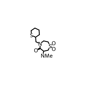 CNC1CS(=O)(=O)CCN(CC2CCCCS2)C1=O